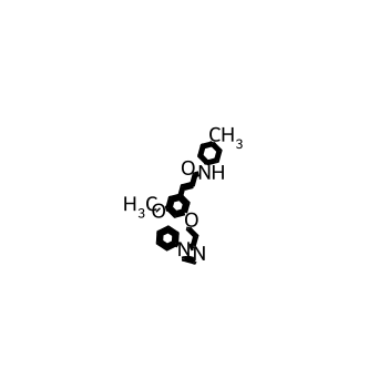 COc1cc(C=CC(=O)NC2CCC(C)CC2)cc(OCCc2nccn2-c2ccccc2)c1